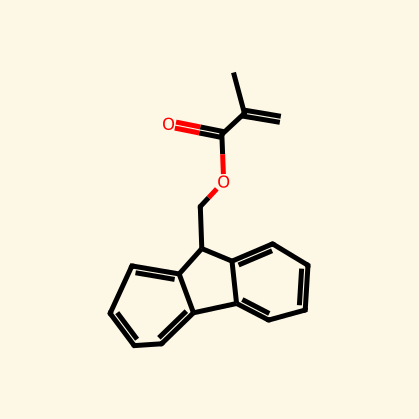 C=C(C)C(=O)OCC1c2ccccc2-c2ccccc21